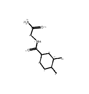 CC1CCC(C(=O)NCC(N)=O)CC1C